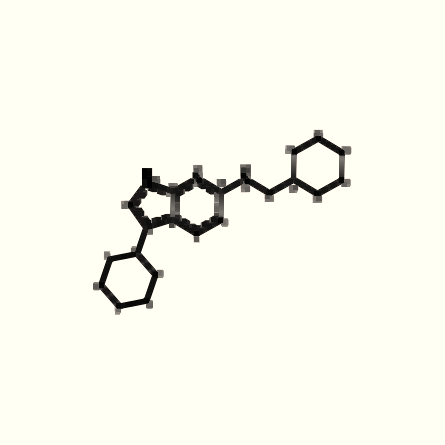 c1cc2c(C3CCCCC3)c[nH]c2nc1NCC1CCCCC1